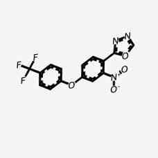 O=[N+]([O-])c1cc(Oc2ccc(C(F)(F)F)cc2)ccc1-c1nnco1